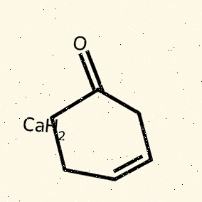 O=C1CC=CCC1.[CaH2]